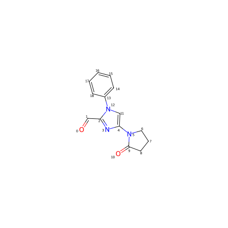 O=Cc1nc(N2CCCC2=O)cn1-c1ccccc1